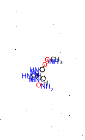 CNC(=O)COc1cccc(Nc2nc(N[C@H]3[C@@H](C(N)=O)[C@@H]4C=C[C@H]3C4)c3nc[nH]c3n2)c1